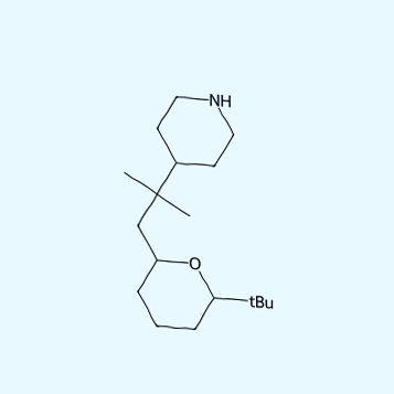 CC(C)(C)C1CCCC(CC(C)(C)C2CCNCC2)O1